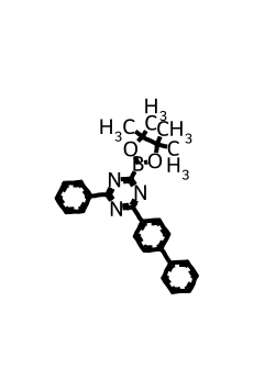 CC1(C)OB(c2nc(-c3ccccc3)nc(-c3ccc(-c4ccccc4)cc3)n2)OC1(C)C